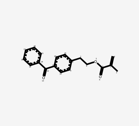 C=C(C)C(=O)OCCc1ccc(C(=O)c2ccccc2)cc1